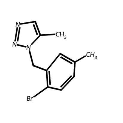 Cc1ccc(Br)c(Cn2nncc2C)c1